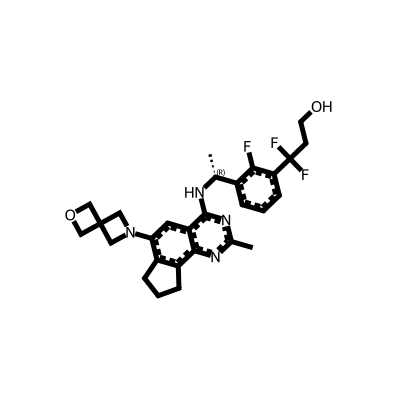 Cc1nc(N[C@H](C)c2cccc(C(F)(F)CCO)c2F)c2cc(N3CC4(COC4)C3)c3c(c2n1)CCC3